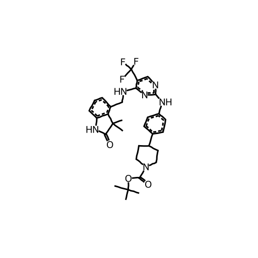 CC(C)(C)OC(=O)N1CCC(c2ccc(Nc3ncc(C(F)(F)F)c(NCc4cccc5c4C(C)(C)C(=O)N5)n3)cc2)CC1